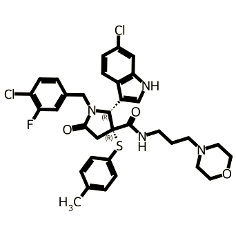 Cc1ccc(S[C@]2(C(=O)NCCCN3CCOCC3)CC(=O)N(Cc3ccc(Cl)c(F)c3)[C@@H]2c2c[nH]c3cc(Cl)ccc23)cc1